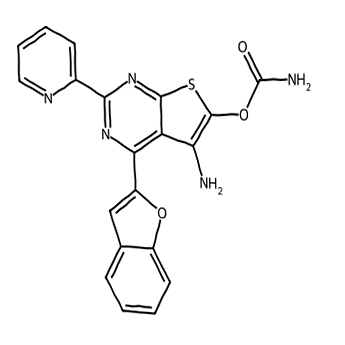 NC(=O)Oc1sc2nc(-c3ccccn3)nc(-c3cc4ccccc4o3)c2c1N